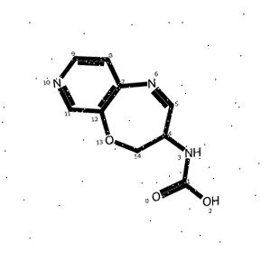 O=C(O)NC1C=Nc2ccncc2OC1